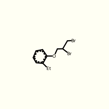 CCc1ccccc1OCC(Br)CBr